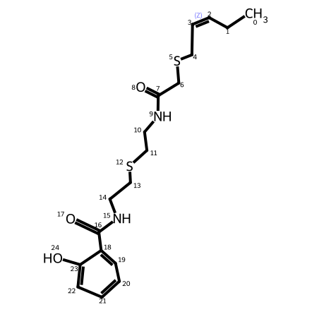 CC/C=C\CSCC(=O)NCCSCCNC(=O)c1ccccc1O